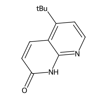 CC(C)(C)c1ccnc2[nH]c(=O)ccc12